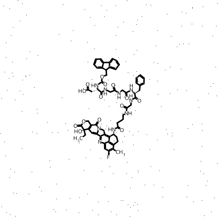 CC[C@@]1(O)C(=O)OCc2c1cc1n(c2=O)Cc2c-1nc1cc(F)c(C)c3c1c2[C@@H](NC(=O)CCCNC(=O)CNC(=O)[C@H](Cc1ccccc1)NC(=O)CNC(=O)CNC(=O)[C@H](CC(=O)O)NC(=O)OCC1c2ccccc2-c2ccccc21)CC3